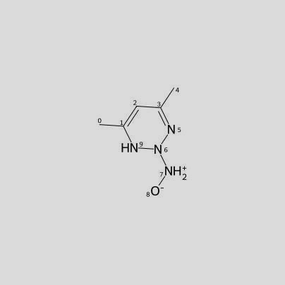 CC1=CC(C)=NN([NH2+][O-])N1